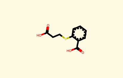 O=C(O)CCSc1ccccc1C(=O)O